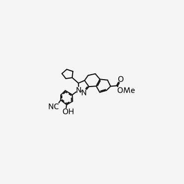 COC(=O)C1C=CC2=C(CCC3C2=NN(c2ccc(C#N)c(O)c2)C3C2CCCC2)C1